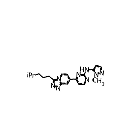 CC(C)CCCc1nnc2cc(-c3ccnc(Nc4ccnn4C)n3)ccn12